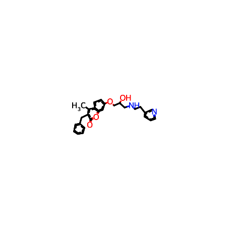 Cc1c(Cc2ccccc2)c(=O)oc2cc(OCC(O)CNCCc3cccnc3)ccc12